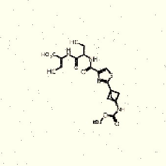 CC(C)(C)OC(=O)NC12CC(c3nc(C(=O)NC(CO)C(=O)NC(CO)C(=O)O)cs3)(C1)C2